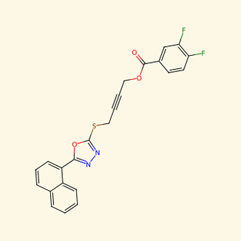 O=C(OCC#CCSc1nnc(-c2cccc3ccccc23)o1)c1ccc(F)c(F)c1